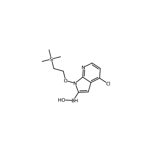 C[Si](C)(C)CCOn1c(BO)cc2c(Cl)ccnc21